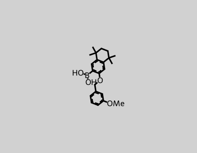 COc1cccc(COc2cc3c(cc2B(O)O)C(C)(C)CCC3(C)C)c1